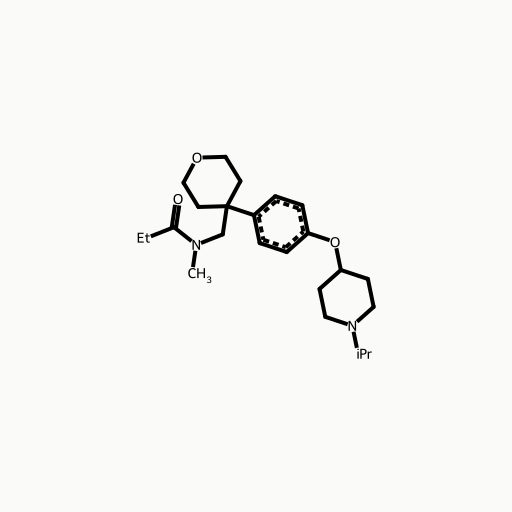 CCC(=O)N(C)CC1(c2ccc(OC3CCN(C(C)C)CC3)cc2)CCOCC1